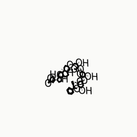 C#CC(O[C@H]1[C@@H](O)C[C@H](O[C@H]2[C@@H](O)C[C@H](O[C@H]3[C@@H](O)C[C@H](O[C@H]4CC[C@]5(C)C6CC[C@]7(C)[C@@H](C8=CC(=O)OC8)CC[C@]7(O)[C@@H]6CC[C@@H]5C4)O[C@@H]3C)O[C@@H]2C)O[C@@H]1C)c1ccccc1